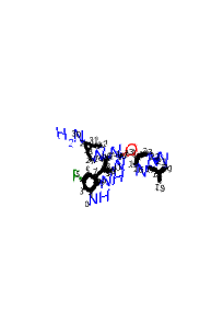 CNc1cc(F)cc2c1[nH]c1nc(Oc3cnc4c(C)cnn4c3)nc(N3CC4C(N)C4C3)c12